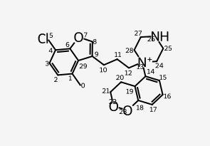 Cc1ccc(Cl)c2occ(CCC[N+]3(c4cccc5c4CCOO5)CCNCC3)c12